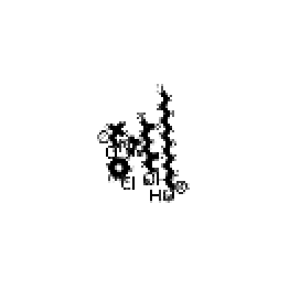 CC(C)(C)C(=O)C(Oc1ccc(Cl)cc1)n1ccnc1.CC(C)=CCC/C(C)=C/CO.CCCCCCCCCCCCCC(=O)O